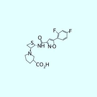 O=C(N[C@H]1SC[C@@H]1N1CCCC(C(=O)O)C1)c1cc(-c2ccc(F)cc2F)on1